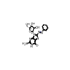 Nc1nc2c(nc(/N=N/c3ccccc3)n2[C@@H]2O[C@H](CO)[C@H](O)C2O)c(=O)[nH]1